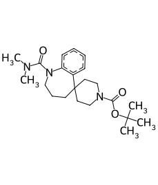 CN(C)C(=O)N1CCCC2(CCN(C(=O)OC(C)(C)C)CC2)c2ccccc21